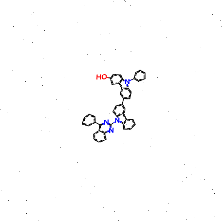 Oc1ccc2c(c1)c1cc(-c3ccc4c(c3)c3ccccc3n4-c3nc(-c4ccccc4)c4ccccc4n3)ccc1n2-c1ccccc1